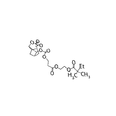 CCC(C)(C)C(=O)OCCOC(=O)CCOC(=O)OC1C2CC3C1OS(=O)(=O)C3C2